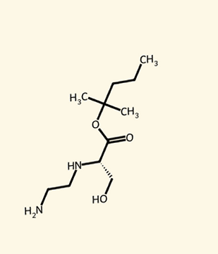 CCCC(C)(C)OC(=O)[C@H](CO)NCCN